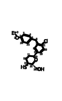 CCOc1ccc(Cc2cc([C@@H]3CC[C@H](S)[C@@H](CO)O3)ccc2Cl)cc1